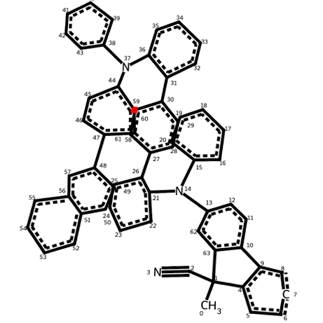 CC1(C#N)c2ccccc2-c2ccc(N(c3ccccc3)c3ccccc3-c3ccc(-c4ccccc4N(c4ccccc4)c4ccc(-c5ccc6ccccc6c5)cc4)cc3)cc21